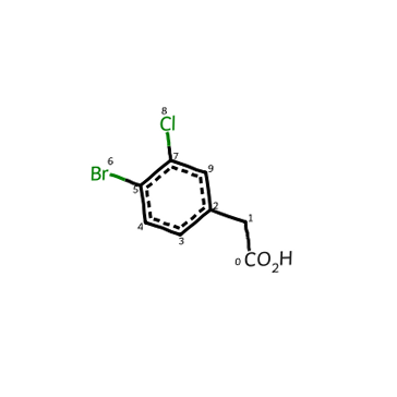 O=C(O)Cc1ccc(Br)c(Cl)c1